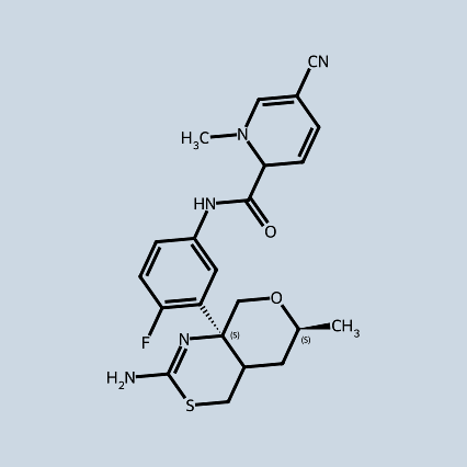 C[C@H]1CC2CSC(N)=N[C@@]2(c2cc(NC(=O)C3C=CC(C#N)=CN3C)ccc2F)CO1